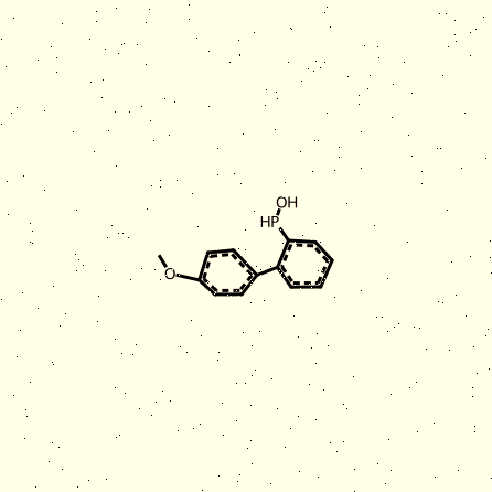 COc1ccc(-c2ccccc2PO)cc1